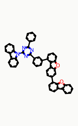 c1ccc(-c2nc(-c3cccc(-c4cccc5oc6cc(-c7cccc8c7oc7ccccc78)ccc6c45)c3)nc(-n3c4ccccc4c4ccccc43)n2)cc1